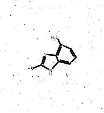 Cc1cccc2[nH]c(S)nc12.[Ni]